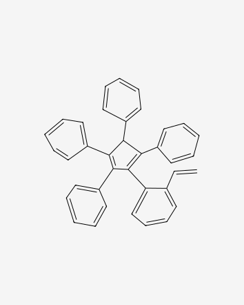 C=Cc1ccccc1C1=C(c2ccccc2)C(c2ccccc2)C(c2ccccc2)=C1c1ccccc1